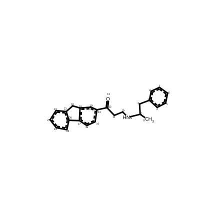 CC(Cc1ccccc1)NCCC(=O)c1ccc2c(c1)Cc1ccccc1-2